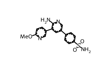 COc1ccc(-c2cc(-c3ccc(S(N)(=O)=O)cc3)cnc2N)cn1